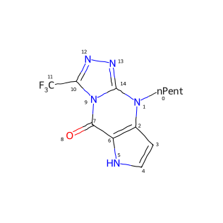 CCCCCn1c2cc[nH]c2c(=O)n2c(C(F)(F)F)nnc12